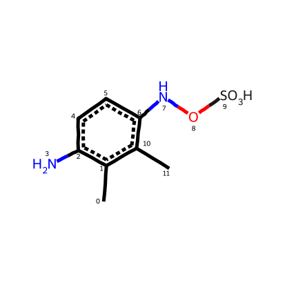 Cc1c(N)ccc(NOS(=O)(=O)O)c1C